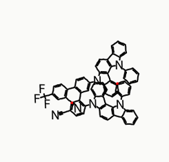 N#Cc1ccc(-n2c3ccccc3c3c2ccc2c4ccccc4n(-c4ccccc4)c23)c(-c2cc(-n3c4ccccc4c4c3ccc3c5ccccc5n(-c5ccccc5)c34)ccc2-c2ccc(C(F)(F)F)cc2C#N)c1